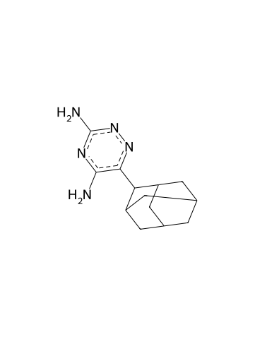 Nc1nnc(C2C3CC4CC(C3)CC2C4)c(N)n1